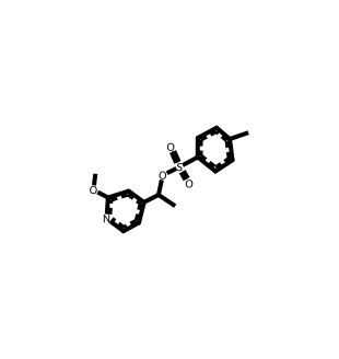 COc1cc(C(C)OS(=O)(=O)c2ccc(C)cc2)ccn1